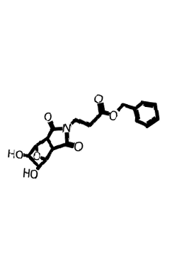 O=C(CCN1C(=O)C2C3OC(C(O)C3O)C2C1=O)OCc1ccccc1